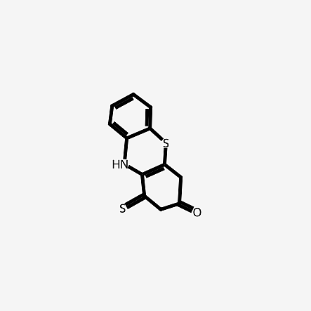 O=C1CC(=S)C2=C(C1)Sc1ccccc1N2